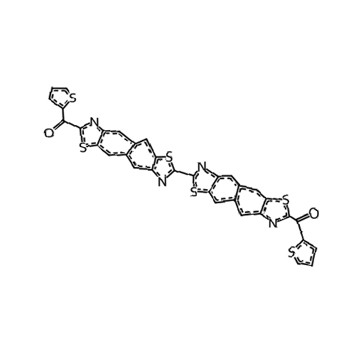 O=C(c1cccs1)c1nc2cc3cc4sc(-c5nc6cc7cc8sc(C(=O)c9cccs9)nc8cc7cc6s5)nc4cc3cc2s1